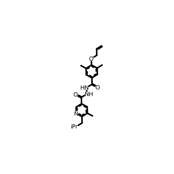 C=CCOc1c(C)cc(C(=O)NNC(=O)c2cnc(CC(C)C)c(C)c2)cc1C